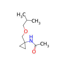 CC(=O)NC1(COCC(C)C)CC1